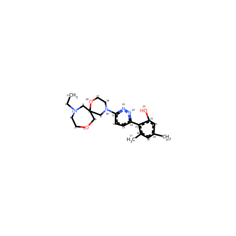 CCN1CCOCC2(C1)CN(c1ccc(-c3c(C)cc(C)cc3O)nn1)CCO2